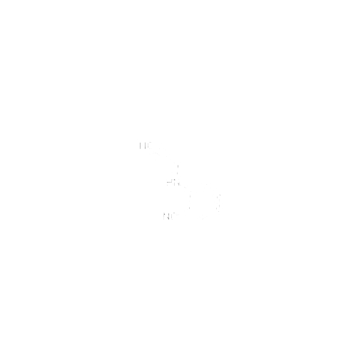 C#CCNc1ccccc1C#N